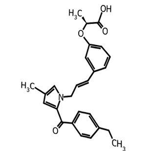 CCc1ccc(C(=O)c2cc(C)cn2C/C=C/c2cccc(O[C@@H](C)C(=O)O)c2)cc1